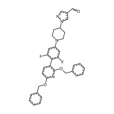 O=Cc1cnn(C2CCN(c3cc(F)c(-c4ccc(OCc5ccccc5)nc4OCc4ccccc4)c(F)c3)CC2)c1